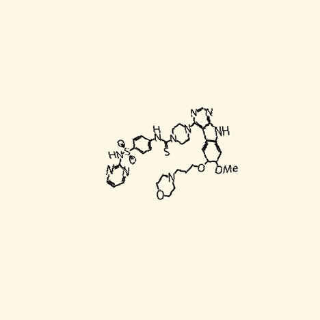 COC1C=c2[nH]c3ncnc(N4CCN(C(=S)Nc5ccc(S(=O)(=O)Nc6ncccn6)cc5)CC4)c3c2=CC1OCCCN1CCOCC1